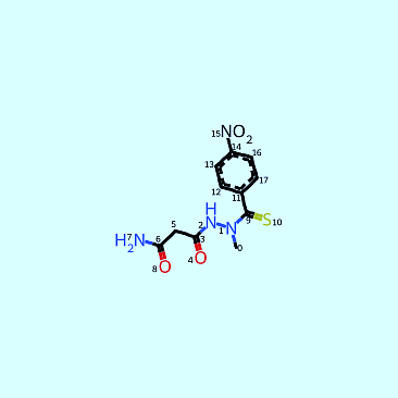 CN(NC(=O)CC(N)=O)C(=S)c1ccc([N+](=O)[O-])cc1